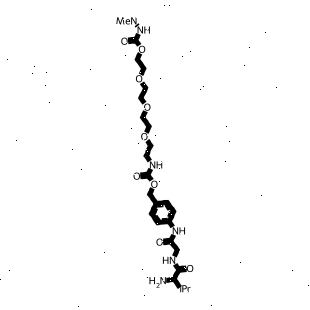 CNNC(=O)OCCOCCOCCOCCNC(=O)OCc1ccc(NC(=O)CNC(=O)C(N)C(C)C)cc1